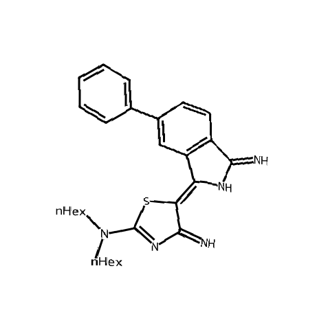 CCCCCCN(CCCCCC)C1=NC(=N)C(=C2NC(=N)c3ccc(-c4ccccc4)cc32)S1